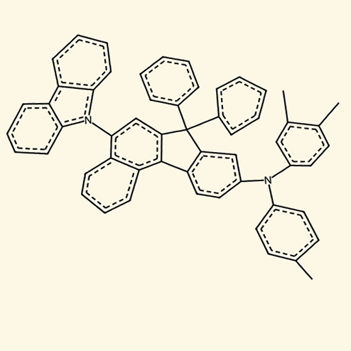 Cc1ccc(N(c2ccc(C)c(C)c2)c2ccc3c(c2)C(c2ccccc2)(c2ccccc2)c2cc(-n4c5ccccc5c5ccccc54)c4ccccc4c2-3)cc1